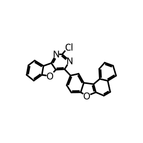 Clc1nc(-c2ccc3oc4ccc5ccccc5c4c3c2)c2oc3ccccc3c2n1